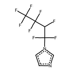 FC(C(F)(F)n1ccnc1)C(F)(F)C(F)(F)F